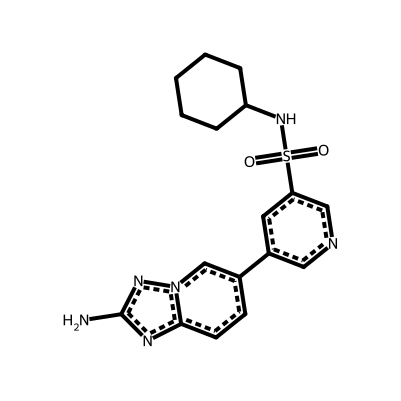 Nc1nc2ccc(-c3cncc(S(=O)(=O)NC4CCCCC4)c3)cn2n1